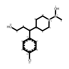 CB(O)N1CCC(C(CCO)c2ccc(Cl)cc2)CC1